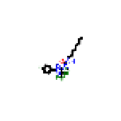 CCCCCCCCNC(=O)N(C)C1N(C)C(c2ccc(F)cc2)=NC1(C(F)(F)F)C(F)(F)F